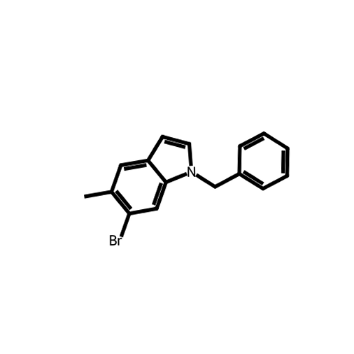 Cc1cc2ccn(Cc3ccccc3)c2cc1Br